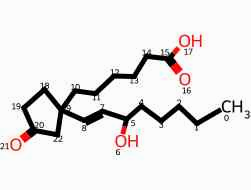 CCCCCC(O)/C=C/C1(CCCCCC(=O)O)CCC(=O)C1